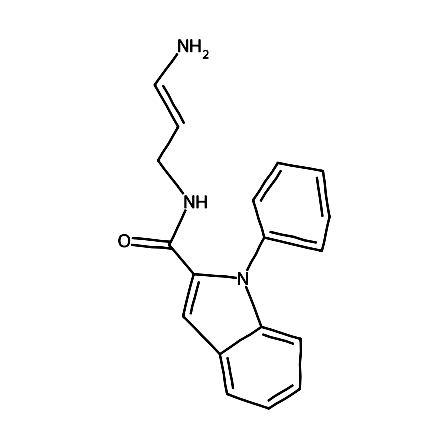 NC=CCNC(=O)c1cc2ccccc2n1-c1ccccc1